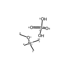 CO[N+](C)(C)C.O=S(=O)(O)O